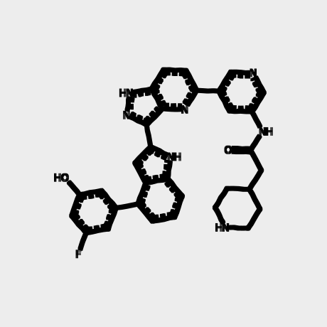 O=C(CC1CCNCC1)Nc1cncc(-c2ccc3[nH]nc(-c4cc5c(-c6cc(O)cc(F)c6)cccc5[nH]4)c3n2)c1